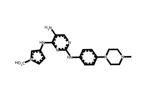 CN1CCN(c2ccc(Nc3ncc(N)c(Nc4ccn(C(=O)O)c4)n3)cc2)CC1